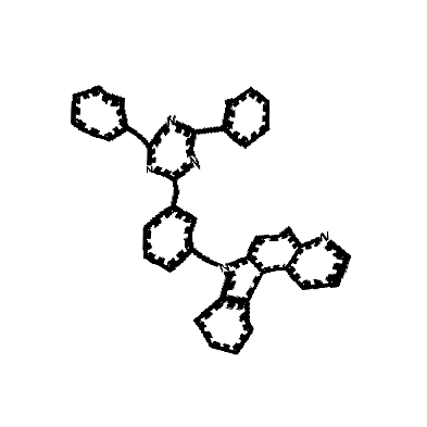 c1ccc(-c2nc(-c3ccccc3)nc(-c3cccc(-n4c5ccccc5c5c6cccnc6ccc54)c3)n2)cc1